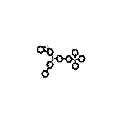 c1ccc(-c2ccc(N(c3ccc(-c4ccc([Si](c5ccccc5)(c5ccccc5)c5ccccc5)cc4)cc3)c3ccc4oc5ccccc5c4c3)cc2)cc1